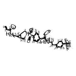 C=CC(=O)NC1C2CN(S(=O)(=O)c3ccc(C(=O)NCCc4ccc(C(F)(F)F)cc4)cc3)CC21